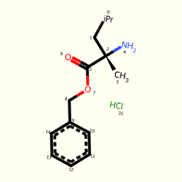 CC(C)C[C@](C)(N)C(=O)OCc1ccccc1.Cl